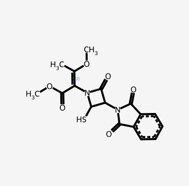 COC(=O)/C(=C(\C)OC)N1C(=O)C(N2C(=O)c3ccccc3C2=O)C1S